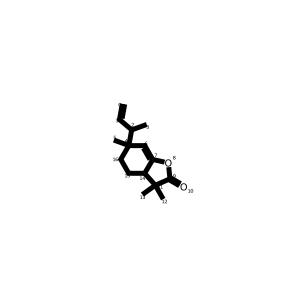 C=CC(C)C1(C)C=C2OC(=O)C(C)(C)C2CC1